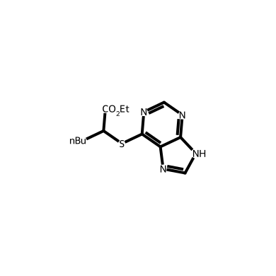 CCCCC(Sc1ncnc2[nH]cnc12)C(=O)OCC